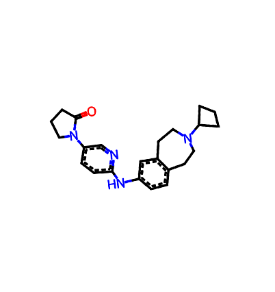 O=C1CCCN1c1ccc(Nc2ccc3c(c2)CCN(C2CCC2)CC3)nc1